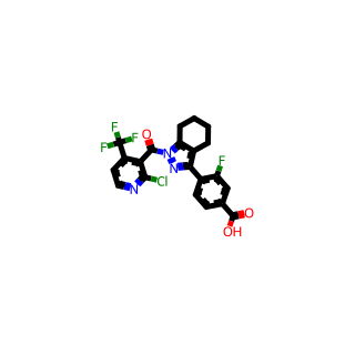 O=C(O)c1ccc(-c2nn(C(=O)c3c(C(F)(F)F)ccnc3Cl)c3c2CCCC3)c(F)c1